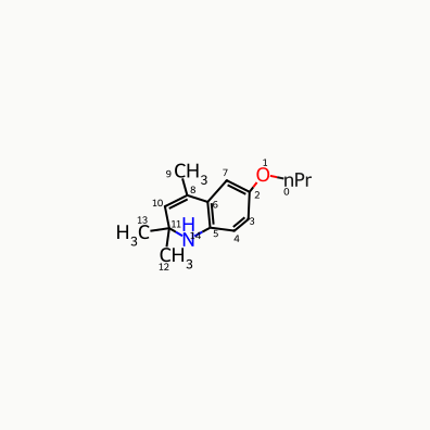 CCCOc1ccc2c(c1)C(C)=CC(C)(C)N2